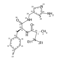 CCN(CC)[C@@H](C)C(=O)N[C@@H](Cc1ccc(F)cc1)C(=O)NCc1cnc(N)s1